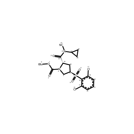 CC(C)(C)OC(=O)N1C[C@H](S(=O)(=O)c2c(Cl)cccc2Cl)C[C@H]1C(=O)N(C#N)C1CC1